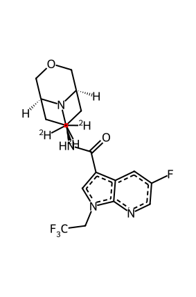 [2H]C([2H])([2H])N1[C@@H]2COC[C@H]1C[C@@H](NC(=O)c1cn(CC(F)(F)F)c3ncc(F)cc13)C2